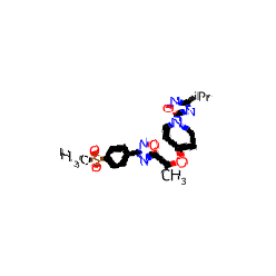 CC(C)c1noc(N2CCC(O[C@H](C)c3nc(-c4ccc(S(C)(=O)=O)cc4)no3)CC2)n1